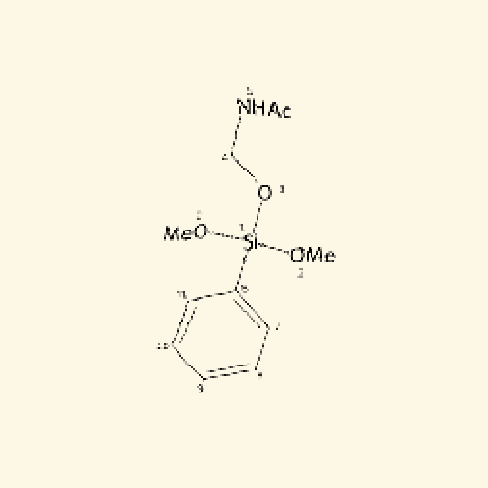 CO[Si](OC)(OCNC(C)=O)c1ccccc1